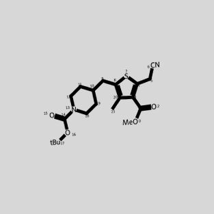 COC(=O)c1c(CC#N)sc(CC2CCN(C(=O)OC(C)(C)C)CC2)c1C